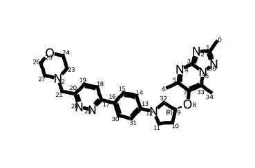 Cc1nc2nc(C)c(O[C@@H]3CCN(c4ccc(-c5ccc(CN6CCOCC6)nn5)cc4)C3)c(C)n2n1